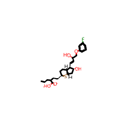 CCCC(CC[C@H]1CC[C@@H]2[C@@H](/C=C/[C@@H](O)COc3cccc(F)c3)[C@H](O)C[C@@H]2S1)C(=O)O